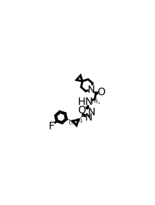 C[C@H](Nc1nnc([C@@H]2C[C@@H]2c2cccc(F)c2)o1)C(=O)N1CCC2(CC1)CC2